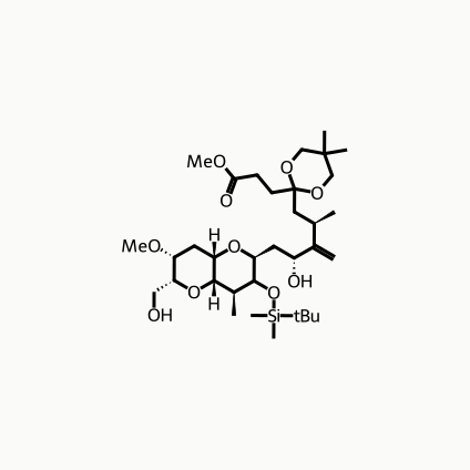 C=C([C@H](C)CC1(CCC(=O)OC)OCC(C)(C)CO1)[C@H](O)C[C@@H]1O[C@H]2C[C@@H](OC)[C@@H](CO)O[C@H]2[C@H](C)C1O[Si](C)(C)C(C)(C)C